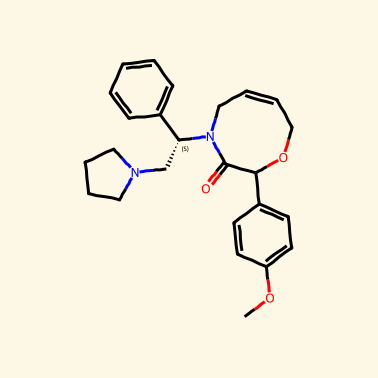 COc1ccc(C2OCC=CCN([C@H](CN3CCCC3)c3ccccc3)C2=O)cc1